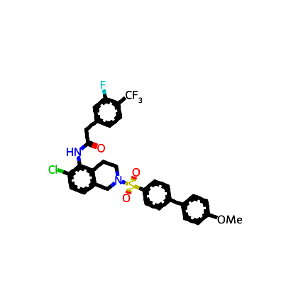 COc1ccc(-c2ccc(S(=O)(=O)N3CCc4c(ccc(Cl)c4NC(=O)Cc4ccc(C(F)(F)F)c(F)c4)C3)cc2)cc1